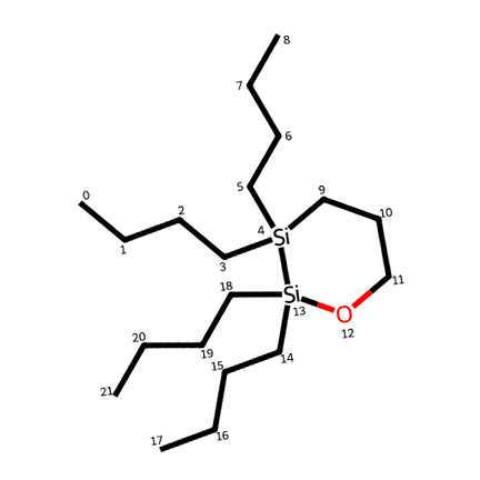 CCCC[Si]1(CCCC)CCCO[Si]1(CCCC)CCCC